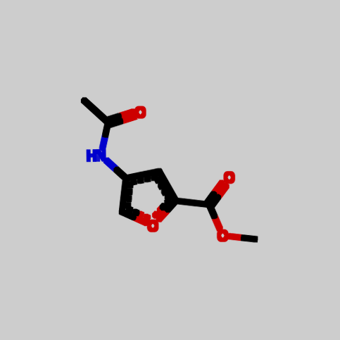 COC(=O)c1cc(NC(C)=O)co1